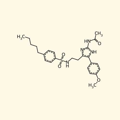 CCCCCc1ccc(S(=O)(=O)NCCc2nc(NC(C)=O)[nH]c2-c2ccc(OC)cc2)cc1